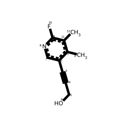 Cc1c(C#CCO)cnc(F)c1C